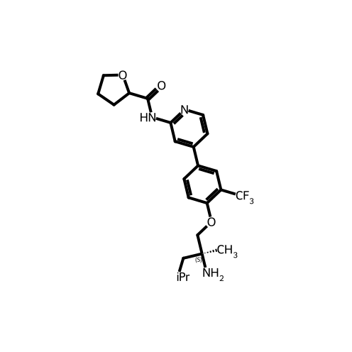 CC(C)C[C@](C)(N)COc1ccc(-c2ccnc(NC(=O)C3CCCO3)c2)cc1C(F)(F)F